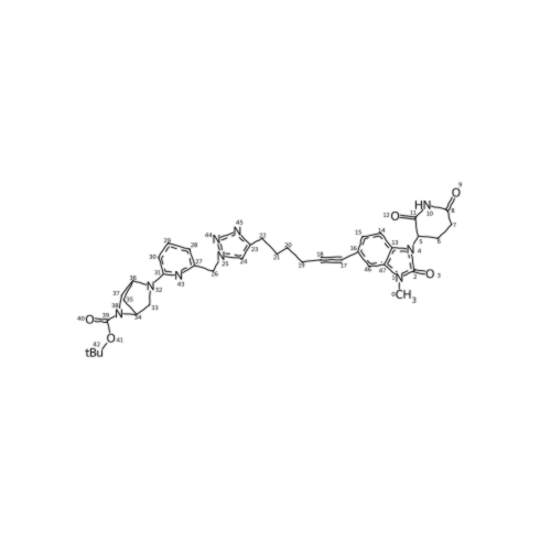 Cn1c(=O)n(C2CCC(=O)NC2=O)c2ccc(C#CCCCCc3cn(Cc4cccc(N5CC6CC5CN6C(=O)OC(C)(C)C)n4)nn3)cc21